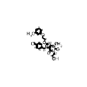 Cc1cccc(OCCOc2nc3c(c(=O)n(CCO)c(=O)n3C)n2Cc2ccc(Cl)cc2)c1